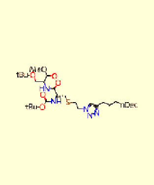 CCCCCCCCCCCCCc1cn(CCSC[C@H](NC(=O)OC(C)(C)C)C(=O)NC(COC(C)(C)C)C(=O)OC)nn1